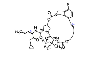 C=C/C=C(/NC(=O)[C@@H]1CC2CN1C(=O)[C@H](C(C)(C)C)NC(=O)OCCC/C=C/c1ccc(F)c3c1CN(C3)C(=O)O2)C(=O)CC1CC1